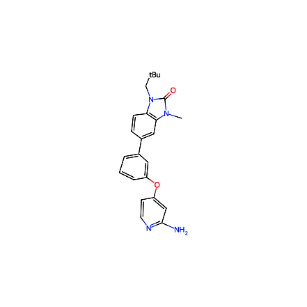 Cn1c(=O)n(CC(C)(C)C)c2ccc(-c3cccc(Oc4ccnc(N)c4)c3)cc21